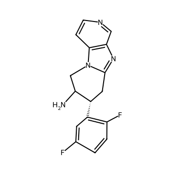 NC1Cn2c(nc3cnccc32)C[C@@H]1c1cc(F)ccc1F